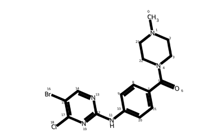 CN1CCN(C(=O)c2ccc(Nc3ncc(Br)c(Cl)n3)cc2)CC1